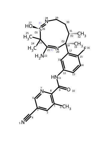 Cc1cc(C#N)cnc1C(=O)Nc1ccc(F)c([C@@]2(C)/N=C(/N)C(C)(C)/[S@@](O)=N\CC[C@@H]2C)c1